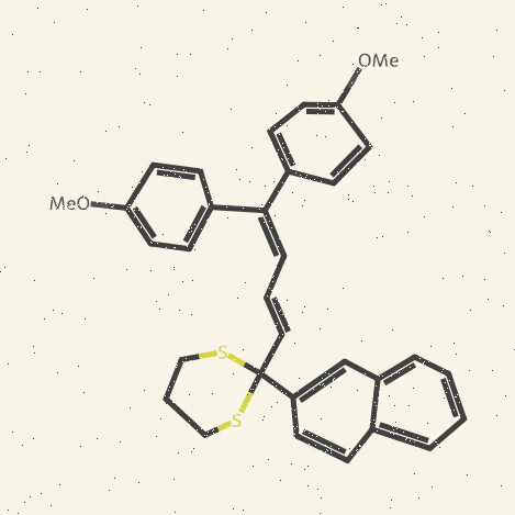 COc1ccc(C(=C/C=C/C2(c3ccc4ccccc4c3)SCCCS2)c2ccc(OC)cc2)cc1